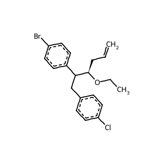 C=CC[C@@H](OCC)C(Cc1ccc(Cl)cc1)c1ccc(Br)cc1